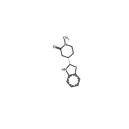 CN1CC[C@H](C2Nc3ccccc3S2)CC1=O